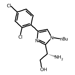 CCCCn1cc(-c2ccc(Cl)cc2Cl)nc1[C@H](N)CO